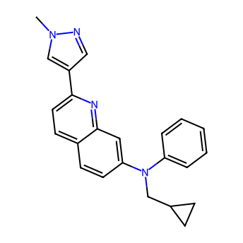 Cn1cc(-c2ccc3ccc(N(CC4CC4)c4ccccc4)cc3n2)cn1